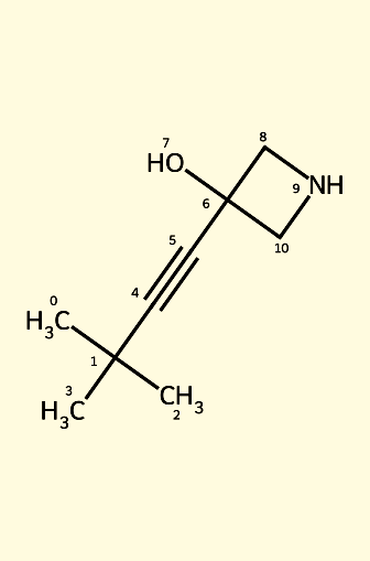 CC(C)(C)C#CC1(O)CNC1